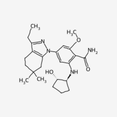 CCc1nn(-c2cc(N[C@H]3CCC[C@@H]3O)c(C(N)=O)c(OC)c2)c2c1CCC(C)(C)C2